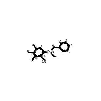 Cc1cc(N(C)Cc2ccccc2)c(C)c(C)c1C